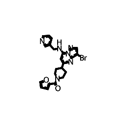 O=C(c1ccco1)N1CCC(c2cc(NCc3cccnc3)n3ncc(Br)c3n2)CC1